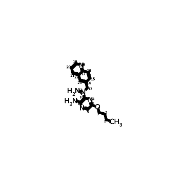 CCCCOc1cnc(N)c(N(N)Cc2ccc3ncccc3c2)n1